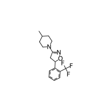 CC1CCN(C2=NOC(c3ccccc3C(F)(F)F)C2)CC1